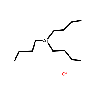 CCC[CH2][Zn]([CH2]CCC)[CH2]CCC.[O-2]